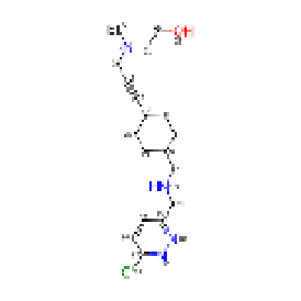 CCN(CC#CC1CCC(CNCc2ccc(Cl)nn2)CC1)CCO